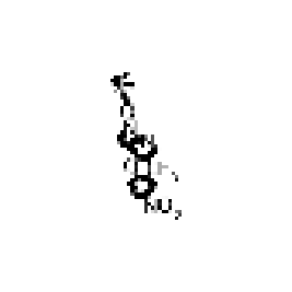 C[Si](C)(C)CCOCn1ccc2c(Oc3ccc([N+](=O)[O-])cc3C(F)(F)F)ccnc21